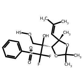 CC(C)=C[C@]1(C)OC(C)(C)O[C@@H]1C(O)(COS)C(F)(F)S(=O)(=O)c1ccccc1